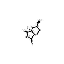 N#CC1CCC2C(=O)NC(=O)[C@@H]2C1